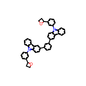 c1cc(-c2ccc3c(c2)c2ccccc2n3-c2cccc(C3CCO3)c2)cc(-c2ccc3c(c2)c2ccccc2n3-c2cccc(C3CCO3)c2)c1